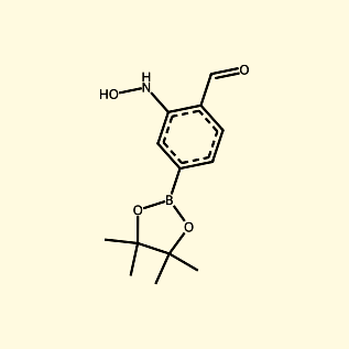 CC1(C)OB(c2ccc(C=O)c(NO)c2)OC1(C)C